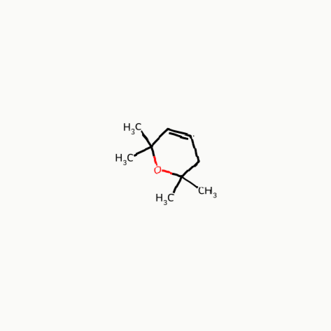 CC1(C)C=[C]CC(C)(C)O1